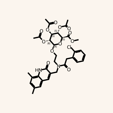 COC(=O)[C@H]1O[C@@H](OCCN(Cc2cc3cc(C)cc(C)c3[nH]c2=O)C(=O)Cc2ccccc2Cl)[C@H](OC(C)=O)[C@@H](OC(C)=O)[C@@H]1OC(C)=O